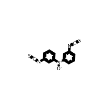 [O-][S+](c1[c]ccc(N=C=S)c1)c1[c]ccc(N=C=S)c1